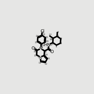 CC1CCCC(NC(=O)C2c3cccn3CC(=O)N2c2ccc(Cl)cc2)C1C